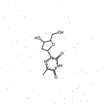 Cc1nn(C2CC(O)C(CO)O2)c(=O)[nH]c1=O